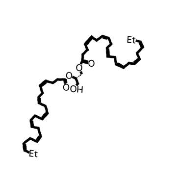 CC/C=C\C/C=C\C/C=C\C/C=C\C/C=C\C/C=C\CCC(=O)OC[C@H](CO)OC(=O)CC/C=C\C/C=C\C/C=C\C/C=C\C/C=C\C/C=C\CC